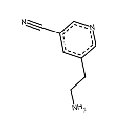 N#Cc1cncc(CCN)c1